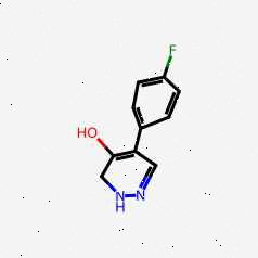 OC1=C(c2ccc(F)cc2)C=NNC1